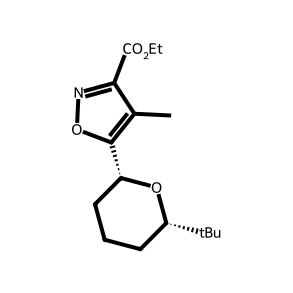 CCOC(=O)c1noc([C@H]2CCC[C@@H](C(C)(C)C)O2)c1C